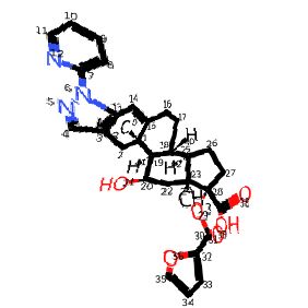 C[C@@]12Cc3cnn(-c4ccccn4)c3C=C1CC[C@H]1[C@H]2[C@H](O)C[C@]2(C)[C@@H]1CC[C@@]2(OC(=O)c1ccco1)C(=O)O